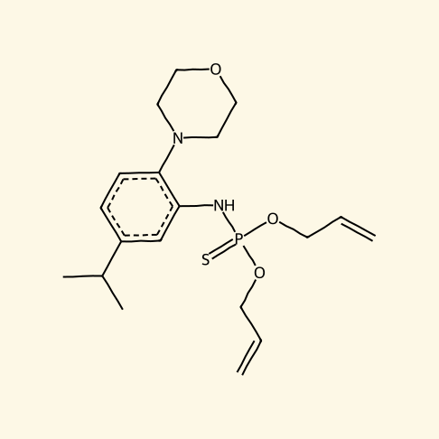 C=CCOP(=S)(Nc1cc(C(C)C)ccc1N1CCOCC1)OCC=C